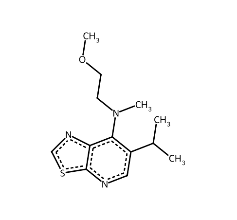 COCCN(C)c1c(C(C)C)cnc2scnc12